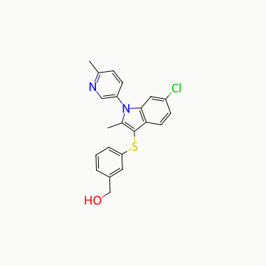 Cc1ccc(-n2c(C)c(Sc3cccc(CO)c3)c3ccc(Cl)cc32)cn1